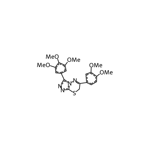 COc1ccc(C2=Nn3c(nnc3-c3cc(OC)c(OC)c(OC)c3)SC2)cc1OC